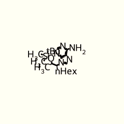 CCCCCC[C@@H]([C@@H](C)O[Si](C)(C)C(C)(C)C)n1cnc2c(N)ncnc21